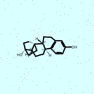 C[C@]12CC[C@@H]3c4ccc(O)cc4CC[C@H]3[C@]13CC[C@]2(O)CC3